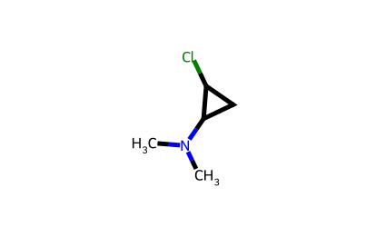 CN(C)C1CC1Cl